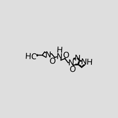 C#CC1CN(CC(=O)NCC(=O)Cn2cnc3[nH]ccc3c2=O)C1